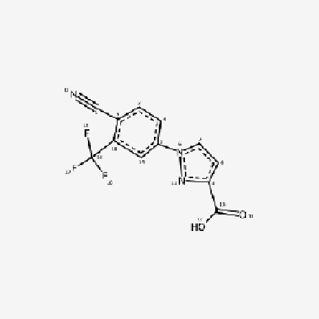 N#Cc1ccc(-n2ccc(C(=O)O)n2)cc1C(F)(F)F